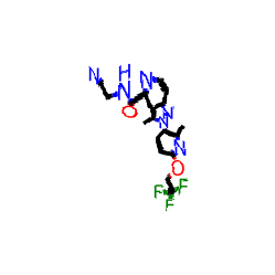 Cc1nc(OCC(F)(F)F)ccc1-n1nc2ccnc(C(=O)NCC#N)c2c1C